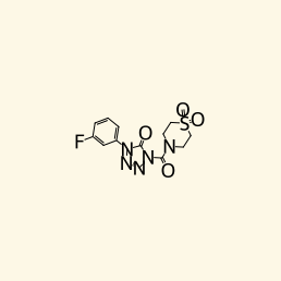 O=C(N1CCS(=O)(=O)CC1)n1nnn(-c2cccc(F)c2)c1=O